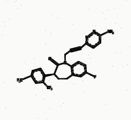 Nc1ccc(C#CCN2C(=O)[C@H](c3ccc(C(F)(F)F)cc3C(F)(F)F)CCc3cc(F)ccc32)nn1